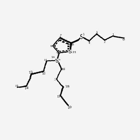 CCCCCSc1ccc([S+](CCCCC)CCCCC)s1